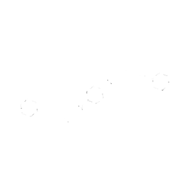 SC(CNc1ccc(NCC(S)COc2ccccc2)cc1)COc1ccccc1